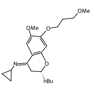 CCCC[C@@H]1CC(=NC2CC2)c2cc(OC)c(OCCCOC)cc2O1